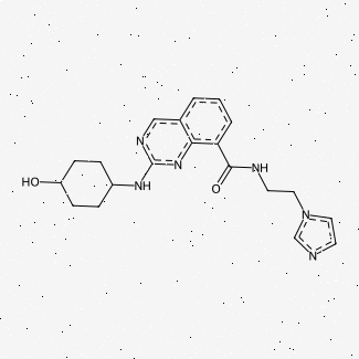 O=C(NCCn1ccnc1)c1cccc2cnc(NC3CCC(O)CC3)nc12